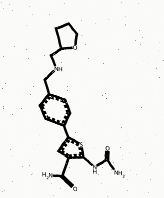 NC(=O)Nc1sc(-c2ccc(CNCC3CCCO3)cc2)cc1C(N)=O